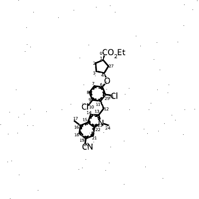 CCOC(=O)[C@@H]1CC[C@H](Oc2ccc(Cl)c(Cc3cc4c(C)cc(C#N)cc4n3C)c2Cl)C1